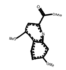 COC(=O)c1cc(OC)c2ccc(OC)cc2n1